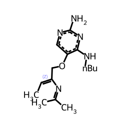 C/C=C(/COc1cnc(N)nc1NCCCC)N=C(C)C